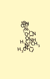 Cn1nc(C(C)(C)NC(=O)c2cncc3c2OCCN(C(=O)OC(C)(C)C)C3)c2ccccc21